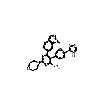 Cn1ncc2ccc(-c3nc(N4CCOCC4)nc(N)c3-c3ccc(-c4nnc[nH]4)cc3)cc21